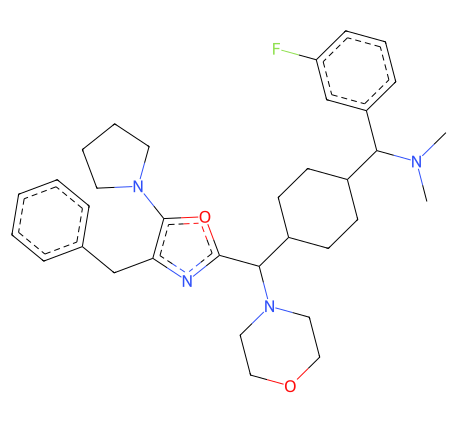 CN(C)C(c1cccc(F)c1)C1CCC(C(c2nc(Cc3ccccc3)c(N3CCCC3)o2)N2CCOCC2)CC1